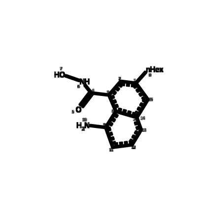 CCCCCCc1cc(C(=O)NO)c2c(N)cccc2c1